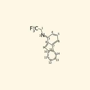 FC(F)(F)CN=C1C=CC=C2C1=Cc1ccccc12